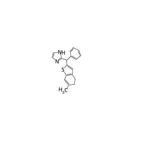 CC1=Cc2sc(C(c3ccccc3)c3ncc[nH]3)cc2CC1